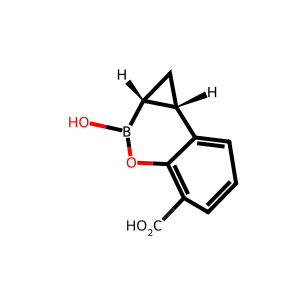 O=C(O)c1cccc2c1OB(O)[C@@H]1C[C@H]21